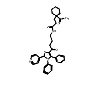 NC(=O)C1(C[CH]C(=O)NCCCC(=O)C2=C(c3ccccc3)N(c3ccccc3)C(c3ccncc3)S2)CCCCC1